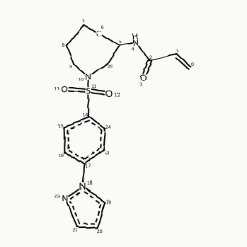 C=CC(=O)NC1CCCCN(S(=O)(=O)c2ccc(-n3cccn3)cc2)C1